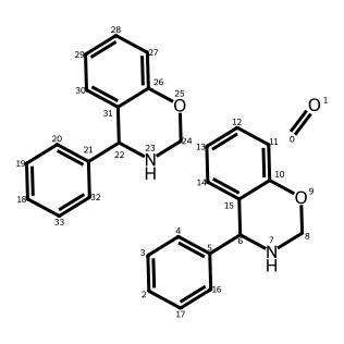 C=O.c1ccc(C2NCOc3ccccc32)cc1.c1ccc(C2NCOc3ccccc32)cc1